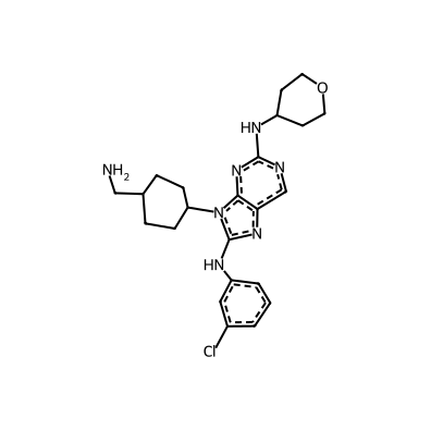 NCC1CCC(n2c(Nc3cccc(Cl)c3)nc3cnc(NC4CCOCC4)nc32)CC1